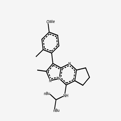 CCCCC(CCCC)Nc1c2c(nc3c(-c4ccc(OC)cc4C)c(C)nn13)CCC2